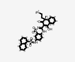 CC(C)CC[C@@]1(C)C(=O)C(C2=NS(=O)(=O)c3cc(NS(=O)(=O)c4cccc5ccccc45)ccc3N2)=C(O)c2ccccc21